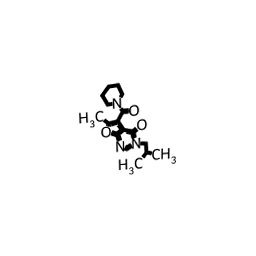 Cc1oc2ncn(CC(C)C)c(=O)c2c1C(=O)N1CCCCC1